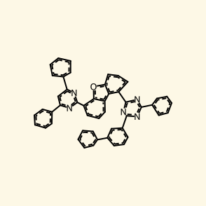 c1ccc(-c2cccc(-c3nc(-c4ccccc4)nc(-c4cccc5oc6c(-c7nc(-c8ccccc8)cc(-c8ccccc8)n7)cccc6c45)n3)c2)cc1